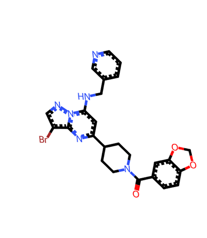 O=C(c1ccc2c(c1)OCO2)N1CCC(c2cc(NCc3cccnc3)n3ncc(Br)c3n2)CC1